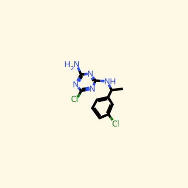 CC(Nc1nc(N)nc(Cl)n1)c1cccc(Cl)c1